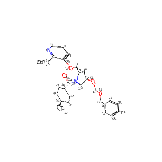 CCOC(=O)c1ncccc1OC[C@H]1C[C@@H](OCOCc2ccccc2)CN1C(=O)[C@H]1CC[C@H](C(F)(F)F)CC1